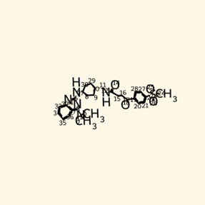 CN(C)c1nc(N[C@H]2CC[C@@H](CNC(=O)CCC(=O)c3ccc(S(C)(=O)=O)cc3)CC2)nc2ccccc12